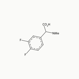 CNC(C(=O)O)c1ccc(F)c(F)c1